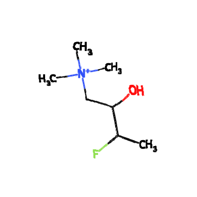 CC(F)C(O)C[N+](C)(C)C